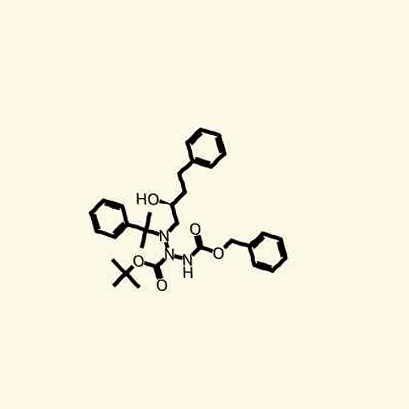 CC(C)(C)OC(=O)N(NC(=O)OCc1ccccc1)N(C[C@@H](O)CCc1ccccc1)C(C)(C)c1ccccc1